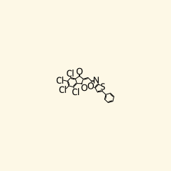 O=C1C(=Cc2nc3sc(-c4ccccc4)cc3o2)C(=O)c2c(Cl)c(Cl)c(Cl)c(Cl)c21